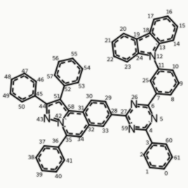 c1ccc(-c2nc(-c3cccc(-n4c5ccccc5c5ccccc54)c3)nc(-c3ccc4c(c3)cc(-c3ccccc3)n3nc(-c5ccccc5)c(-c5ccccc5)c43)n2)cc1